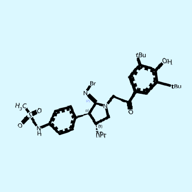 CCC[C@H]1CN(CC(=O)c2cc(C(C)(C)C)c(O)c(C(C)(C)C)c2)/C(=N\Br)[C@@H]1c1ccc(NS(C)(=O)=O)cc1